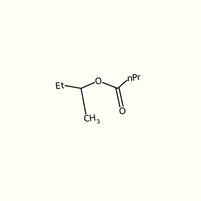 [CH2]CC(C)OC(=O)CCC